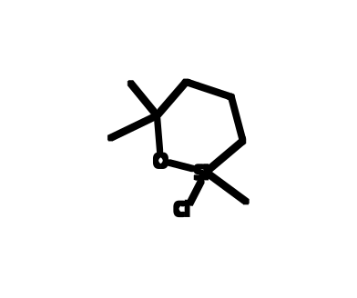 CC1(C)CCC[Si](C)(Cl)O1